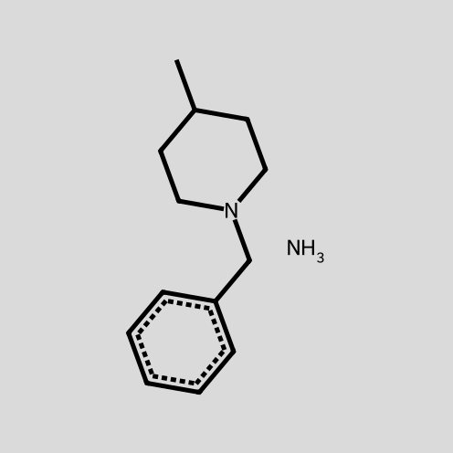 CC1CCN(Cc2ccccc2)CC1.N